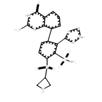 Nc1nc2c(-c3ccc(S(=O)(=O)C4CNC4)c(S(N)(=O)=O)c3-c3nn[nH]n3)cccc2c(=O)[nH]1